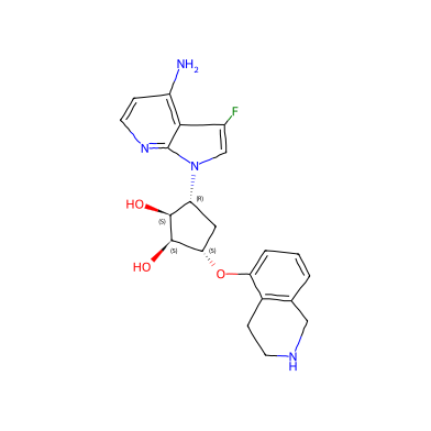 Nc1ccnc2c1c(F)cn2[C@@H]1C[C@H](Oc2cccc3c2CCNC3)[C@@H](O)[C@H]1O